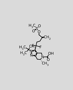 C=C(CCC(F)(F)c1c2c(nn1C(C)(C)C)C[C@@H](C)N(C(=O)O)C2)COS(C)(=O)=O